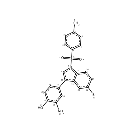 Cc1ccc(S(=O)(=O)n2cc(-c3cnc(O)c(N)c3)c3cc(Br)cnc32)cc1